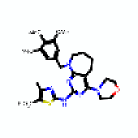 CCOC(=O)c1sc(Nc2nc(N3CCOCC3)c3c(n2)N(Cc2cc(OC)c(OC)c(OC)c2)CCCC3)nc1C